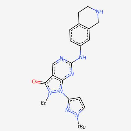 CCn1c(=O)c2cnc(Nc3ccc4c(c3)CNCC4)nc2n1-c1ccn(C(C)(C)C)n1